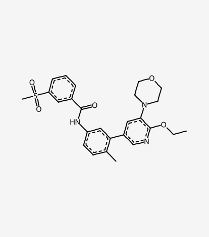 CCOc1ncc(-c2cc(NC(=O)c3cccc(S(C)(=O)=O)c3)ccc2C)cc1N1CCOCC1